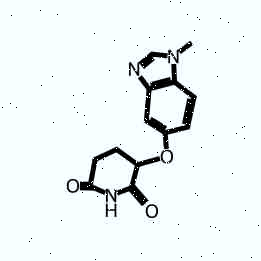 Cn1cnc2cc(OC3CCC(=O)NC3=O)ccc21